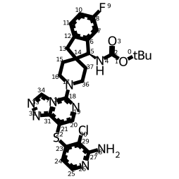 CC(C)(C)OC(=O)N[C@@H]1c2cc(F)ccc2CC12CCN(c1ncc(Sc3ccnc(N)c3Cl)c3nncn13)CC2